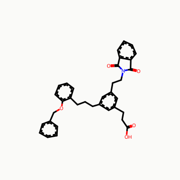 O=C(O)CCc1cc(CCCc2ccccc2OCc2ccccc2)cc(CCN2C(=O)c3ccccc3C2=O)c1